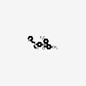 Cc1ccc(C(=O)Nc2ccc3c(c2)OCCN3CCc2ccccn2)c(-c2ccc(C(F)(F)F)cc2)c1